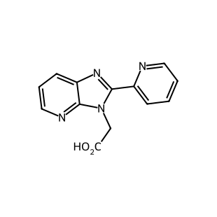 O=C(O)Cn1c(-c2ccccn2)nc2cccnc21